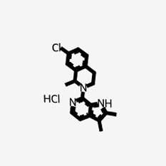 Cc1[nH]c2c(N3CCc4ccc(Cl)cc4C3C)nccc2c1C.Cl